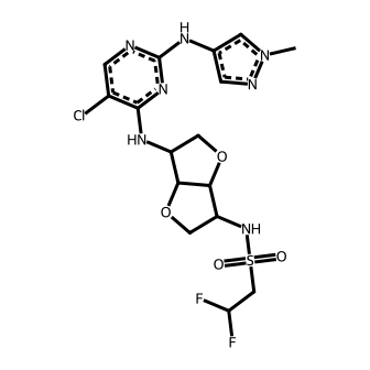 Cn1cc(Nc2ncc(Cl)c(NC3COC4C(NS(=O)(=O)CC(F)F)COC34)n2)cn1